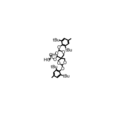 Cc1cc(C(C)(C)C)c(OC2OCC3(CO2)COC(Oc2c(C(C)(C)C)cc(C)cc2C(C)(C)C)OC3OP(O)O)c(C(C)(C)C)c1